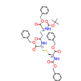 CC(C)(C)OC(=O)N[C@H](CCC(=O)N[C@H](CSC[C@H](NC(=O)OCc1ccccc1)C(=O)OCc1ccccc1)C(=O)OCc1ccccc1)C(=O)OCc1ccccc1